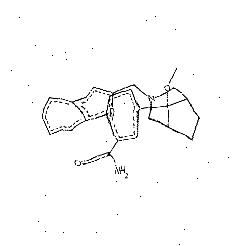 COC1(c2cccc(C(N)=O)c2)C2CCC1CN(Cc1cc3ccccc3o1)C2